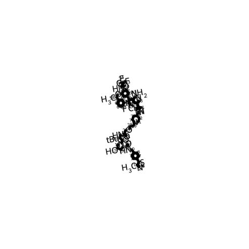 Cc1ncsc1-c1ccc(CNC(=O)[C@@H]2C[C@@H](O)CN2C(=O)[C@@H](NC(=O)COCCN2CCC(n3cc(-c4cnc(N)c5c(-c6ccc(NS(=O)(=O)C(F)F)c(O[C@@H](C)c7ccc(F)cc7)c6)nn(C)c45)cn3)CC2)C(C)(C)C)cc1